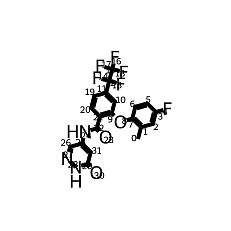 Cc1cc(F)ccc1Oc1cc(C(F)(F)C(F)(F)F)ccc1C(=O)Nc1cn[nH]c(=O)c1